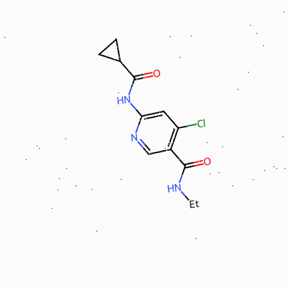 CCNC(=O)c1cnc(NC(=O)C2CC2)cc1Cl